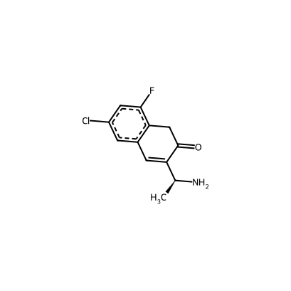 C[C@H](N)C1=Cc2cc(Cl)cc(F)c2CC1=O